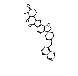 O=C1CCC(N2Cc3c(ccc4c3OCC43CCN(Cc4cccc5cnccc45)CC3)C2=O)C(=O)N1